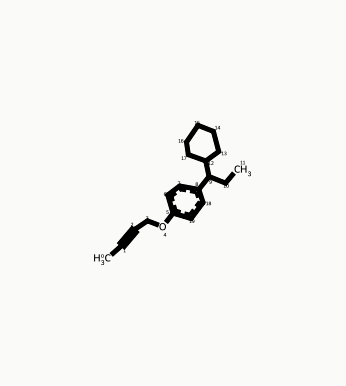 CC#CCOc1ccc(C(CC)C2CCCCC2)cc1